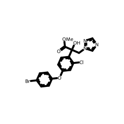 COC(=O)C(O)(Cn1cncn1)c1ccc(Oc2ccc(Br)cc2)cc1Cl